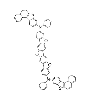 c1ccc(N(c2ccc3c(c2)oc2cc4c(cc23)oc2cc3c(cc24)oc2cc(N(c4ccccc4)c4ccc5c(c4)sc4ccc6ccccc6c45)ccc23)c2ccc3c(c2)sc2ccc4ccccc4c23)cc1